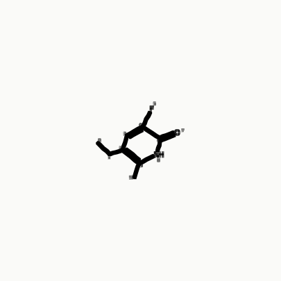 CCc1cc(F)c(=O)[nH]c1C